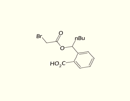 CCCCC(OC(=O)CBr)c1ccccc1C(=O)O